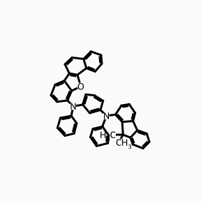 CC1(C)c2ccccc2-c2cccc(N(c3ccccc3)c3cccc(N(c4ccccc4)c4cccc5c4oc4c6ccccc6ccc54)c3)c21